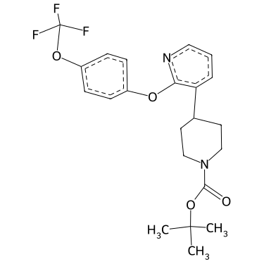 CC(C)(C)OC(=O)N1CCC(c2cccnc2Oc2ccc(OC(F)(F)F)cc2)CC1